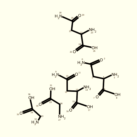 NC(=O)CC(N)C(=O)O.NC(=O)CC(N)C(=O)O.NC(=O)CC(N)C(=O)O.NCC(=O)O.NCC(=O)O